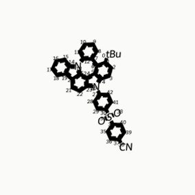 CC(C)(C)c1ccc2c3c1c1ccccc1n1c4ccccc4c4ccc(c3c41)n2-c1ccc(S(=O)(=O)c2ccc(C#N)cc2)cc1